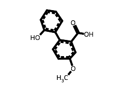 COc1ccc(-c2ccccc2O)c(C(=O)O)c1